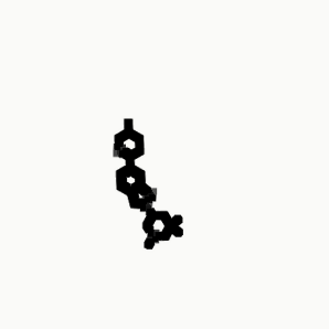 CC1CCC(c2ccc3cn(C4CN(C)CC(C)(C)C4)nc3c2)=NC1